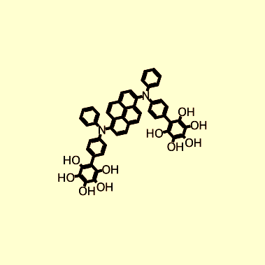 Oc1c(O)c(O)c(-c2ccc(N(c3ccccc3)c3ccc4ccc5c(N(c6ccccc6)c6ccc(-c7c(O)c(O)c(O)c(O)c7O)cc6)ccc6ccc3c4c65)cc2)c(O)c1O